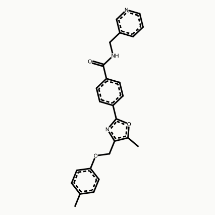 Cc1ccc(OCc2nc(-c3ccc(C(=O)NCc4cccnc4)cc3)oc2C)cc1